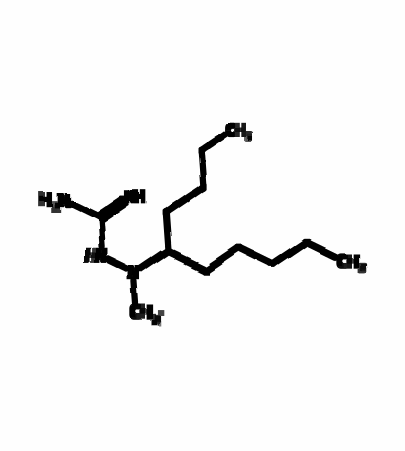 [CH2]N(NC(=N)N)C(CCCC)CCCCC